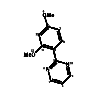 COc1ccc(-c2ncccn2)c(OC)c1